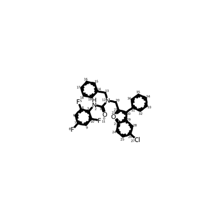 O=C(Nc1c(F)cc(F)cc1F)N(Cc1ccccc1)Cc1oc2ccc(Cl)cc2c1-c1ccccc1